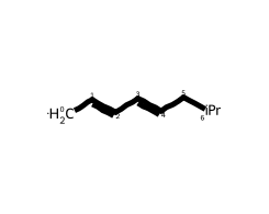 [CH2]/C=C/C=C/CC(C)C